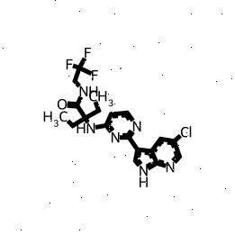 CCC(CC)(Nc1ccnc(-c2c[nH]c3ncc(Cl)cc23)n1)C(=O)NCC(F)(F)F